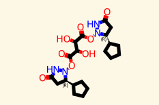 O=C1C[C@H](C2CCCC2)N(OC(=O)C(O)C(O)C(=O)ON2NC(=O)C[C@@H]2C2CCCC2)N1